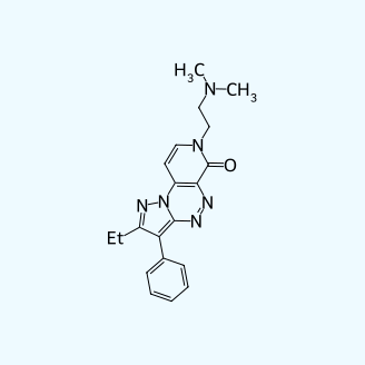 CCc1nn2c(nnc3c(=O)n(CCN(C)C)ccc32)c1-c1ccccc1